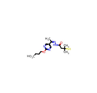 C/C(=N/NC(=O)CC(C)(C)S)c1cnc(OCCCC(=O)O)nc1